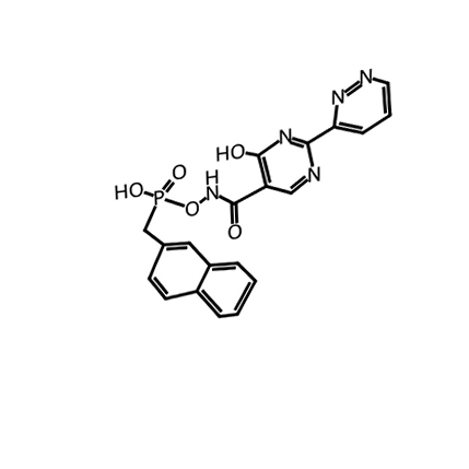 O=C(NOP(=O)(O)Cc1ccc2ccccc2c1)c1cnc(-c2cccnn2)nc1O